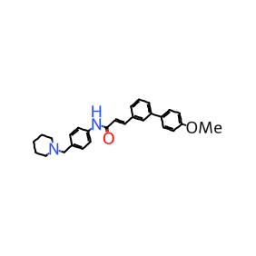 COc1ccc(-c2cccc(/C=C/C(=O)Nc3ccc(CN4CCCCC4)cc3)c2)cc1